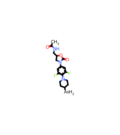 CC(=O)NCC1CN(c2cc(F)c(N3CCC([AsH2])CC3)c(F)c2)C(=O)O1